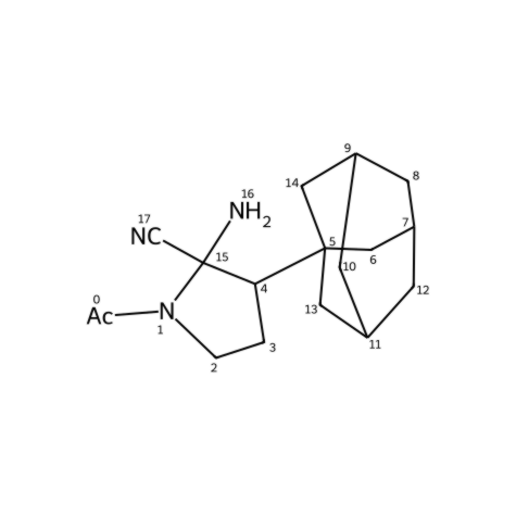 CC(=O)N1CCC(C23CC4CC(CC(C4)C2)C3)C1(N)C#N